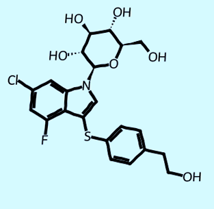 OCCc1ccc(Sc2cn([C@@H]3O[C@H](CO)[C@@H](O)[C@H](O)[C@H]3O)c3cc(Cl)cc(F)c23)cc1